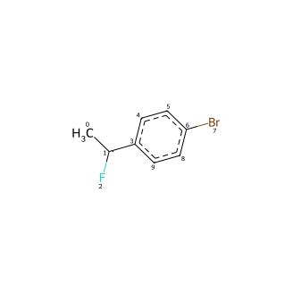 C[C](F)c1ccc(Br)cc1